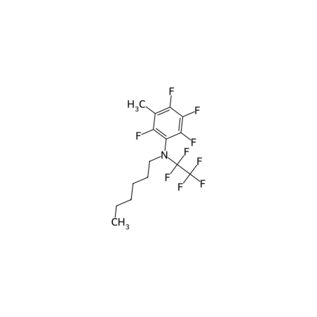 CCCCCCN(c1c(F)c(C)c(F)c(F)c1F)C(F)(F)C(F)(F)F